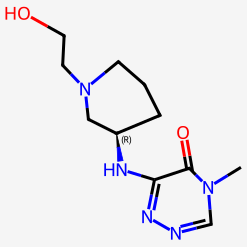 Cn1cnnc(N[C@@H]2CCCN(CCO)C2)c1=O